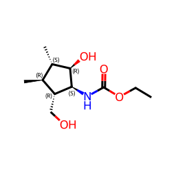 CCOC(=O)N[C@@H]1[C@H](O)[C@@H](C)[C@H](C)[C@H]1CO